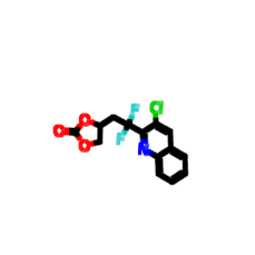 O=C1OCC(CC(F)(F)c2nc3ccccc3cc2Cl)O1